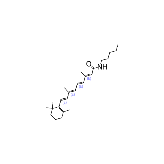 CCCCCNC(=O)/C=C(C)/C=C/C=C(C)/C=C/C1=C(C)CCCC1(C)C